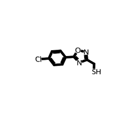 SCc1noc(-c2ccc(Cl)cc2)n1